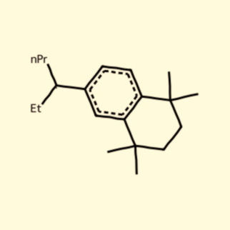 CCC[C](CC)c1ccc2c(c1)C(C)(C)CCC2(C)C